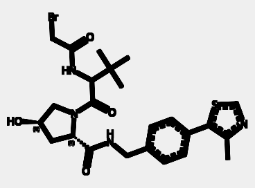 Cc1ncsc1-c1ccc(CNC(=O)[C@@H]2C[C@@H](O)CN2C(=O)C(NC(=O)CBr)C(C)(C)C)cc1